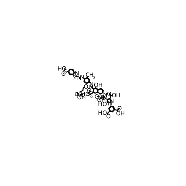 Cc1cc(N=Nc2c(S(=O)(=O)O)cc3c(S(=O)(=O)O)c(N=Nc4c(C(=O)O)nn(-c5cc(C(=O)O)cc(C(=O)O)c5)c4O)ccc3c2O)c(OCCCS(=O)(=O)O)cc1N=Nc1nc2ccc(S(=O)O)cc2s1